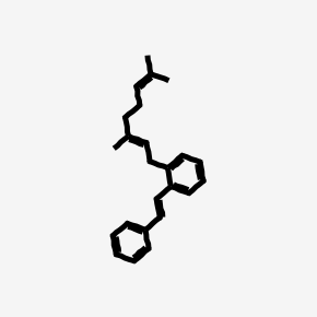 CC(C)=CCC/C(C)=C/Cc1ccccc1/C=C/c1ccccc1